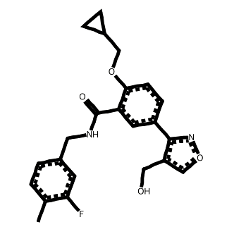 Cc1ccc(CNC(=O)c2cc(-c3nocc3CO)ccc2OCC2CC2)cc1F